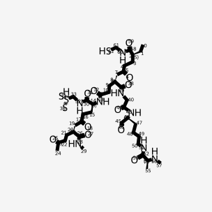 CC[C@@H](CCC(=O)C[C@@H](CCC(=O)N[C@@H](CCC(=O)C[C@@H](CCC(C)=O)C(=O)NC)C(=O)NC[SH](=S)=S)C(=O)NCC(=O)N[C@H](C=O)CCCCNC(=O)[C@H](C)NC)C(=O)NCS